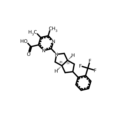 Cc1nc(N2C[C@H]3CC(c4ccccc4C(F)(F)F)C[C@H]3C2)nc(C(=O)O)c1C